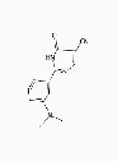 CN(C)c1cccc(-c2ccc(C#N)c(=O)[nH]2)c1